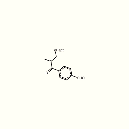 CCCCCCCCN(C)C(=O)c1ccc(C=O)cc1